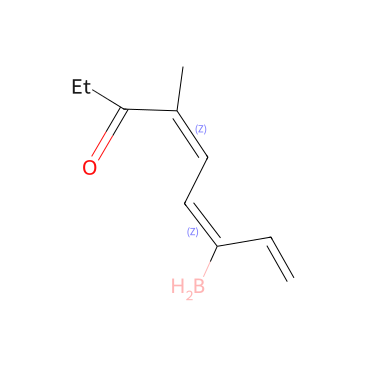 B/C(C=C)=C/C=C(/C)C(=O)CC